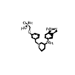 O=P(O)(O)COc1cccc(CN2CCCC(Nc3ccc4[nH]ncc4c3)C2)c1